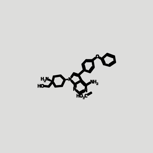 CC(=O)O.Nc1ncnc2c1c(-c1ccc(Oc3ccccc3)cc1)cn2[C@H]1CC[C@@](N)(CO)CC1